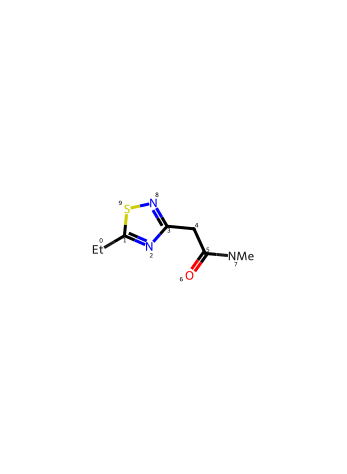 CCc1nc(CC(=O)NC)ns1